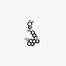 C[C@@H]1c2c(-c3cc4cc(Nc5cc6n(n5)CC(=O)N(C)CC6)ncc4cc3F)c3ncccc3c3ccc4c(c23)[C@@H](CCC4)[C@@H]1O